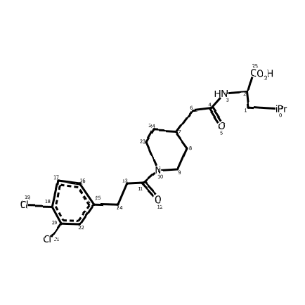 CC(C)CC(NC(=O)CC1CCN(C(=O)CCc2ccc(Cl)c(Cl)c2)CC1)C(=O)O